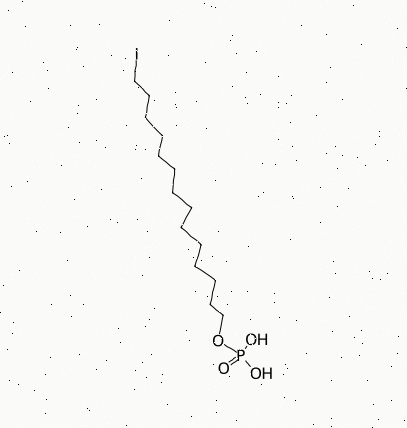 O=P(O)(O)OCCCCCCCCCCCCCCI